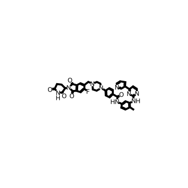 Cc1ccc(NC(=O)c2ccc(N3CCN(Cc4cc5c(cc4F)C(=O)N(C4CCC(=O)NC4=O)C5=O)CC3)cc2)cc1Nc1nccc(-c2cccnc2)n1